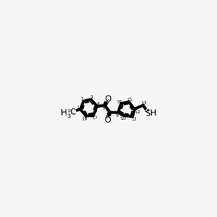 Cc1ccc(C(=O)C(=O)c2ccc(CS)cc2)cc1